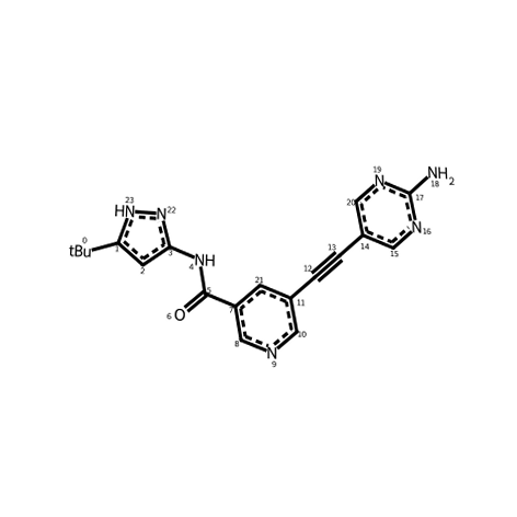 CC(C)(C)c1cc(NC(=O)c2cncc(C#Cc3cnc(N)nc3)c2)n[nH]1